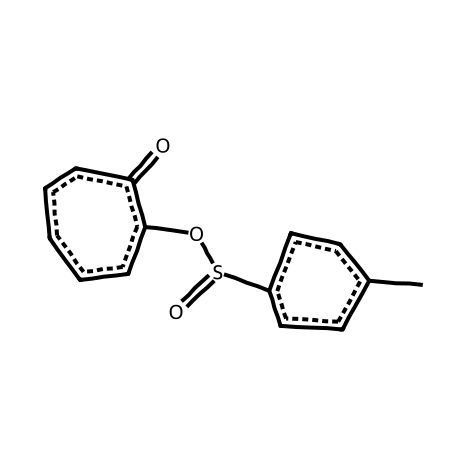 Cc1ccc(S(=O)Oc2cccccc2=O)cc1